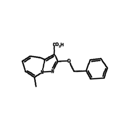 Cc1cccc2c(C(=O)O)c(OCc3ccccc3)nn12